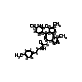 Cc1ccc(CCNC(=O)C[C@@H]2N=C(c3ccc(Cl)cc3)c3c(sc(C)c3C)-n3c(C)nnc32)cc1